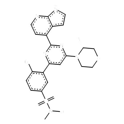 CCN(C)S(=O)(=O)c1ccc(C(C)C)c(-c2cc(N3CCOC[C@H]3C)nc(-c3ccnc4[nH]ccc34)n2)c1